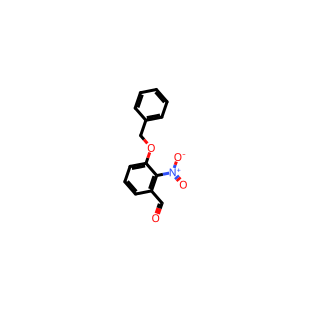 O=Cc1cccc(OCc2ccccc2)c1[N+](=O)[O-]